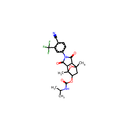 CC(C)NC(=O)OC1CC2(C)OC1(C)C1C(=O)N(c3ccc(C#N)c(C(F)(F)F)c3)C(=O)C12